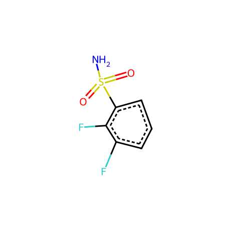 NS(=O)(=O)c1cccc(F)c1F